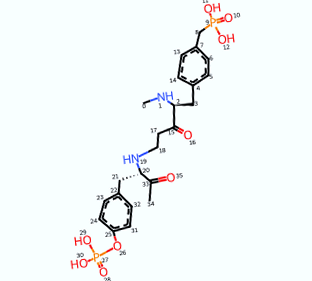 CN[C@@H](Cc1ccc(CP(=O)(O)O)cc1)C(=O)CCN[C@@H](Cc1ccc(OP(=O)(O)O)cc1)C(C)=O